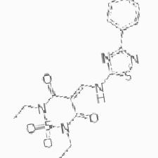 CCN1C(=O)C(=CNc2nc(-c3ccccc3)ns2)C(=O)N(CC)S1(=O)=O